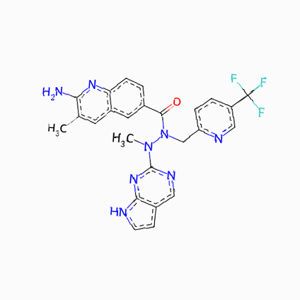 Cc1cc2cc(C(=O)N(Cc3ccc(C(F)(F)F)cn3)N(C)c3ncc4cc[nH]c4n3)ccc2nc1N